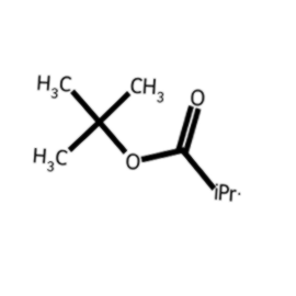 C[C](C)C(=O)OC(C)(C)C